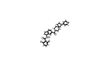 O=C(NC1CCc2ccc(C(=O)N3CCC4(CC3)CCN(c3ccncc3)C4)cc21)c1c(F)cccc1F